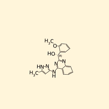 COc1ccccc1[C@@H](O)c1nc(Nc2cc(C)[nH]n2)c2ccccc2n1